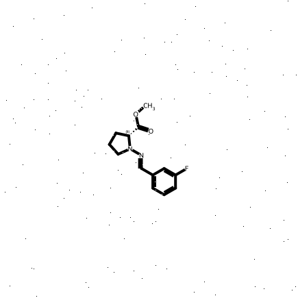 COC(=O)[C@H]1CCCN1N=Cc1cccc(F)c1